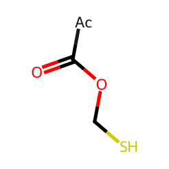 CC(=O)C(=O)OCS